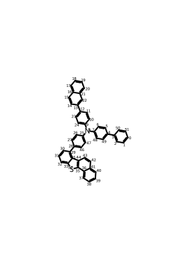 c1ccc(-c2ccc(N(c3ccc(-c4ccc5ccccc5c4)cc3)c3ccc(-c4cccc5sc6c7ccccc7ccc6c45)cc3)cc2)cc1